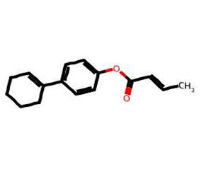 CC=CC(=O)Oc1ccc(C2=CCCCC2)cc1